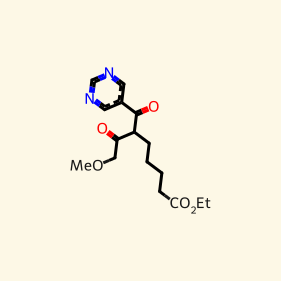 CCOC(=O)CCCCC(C(=O)COC)C(=O)c1cncnc1